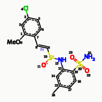 COc1cc(Cl)ccc1/C=C/[S+]([O-])Nc1cc(C)ccc1S(N)(=O)=O